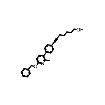 Cc1nc(OCc2ccccc2)ccc1-c1ccc(C#CCCCCCO)cc1